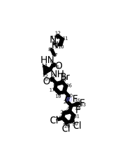 O=C(NC1(C(=O)NCCn2cccn2)CC1)c1ccc(/C=C/C(c2cc(Cl)c(Cl)c(Cl)c2)C(F)(F)F)cc1Br